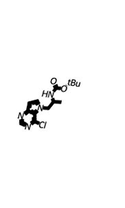 CC(Cn1ccc2ncnc(Cl)c21)NC(=O)OC(C)(C)C